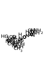 Cc1ncc(CO)c(C(O)OC(=O)CC[C@H](NC(=O)c2ccc(NCc3cnc4[nH]c(N)nc(=O)c4n3)cc2)C(=O)OC(O)c2c(CO)cnc(C)c2O)c1O